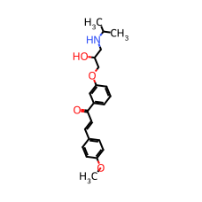 COc1ccc(C=CC(=O)c2cccc(OCC(O)CNC(C)C)c2)cc1